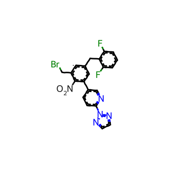 O=[N+]([O-])c1c(CBr)[c]c(Cc2c(F)cccc2F)cc1-c1ccc(-n2nccn2)nc1